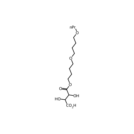 CCCOCCCCOCCCCOC(=O)C(O)C(O)C(=O)O